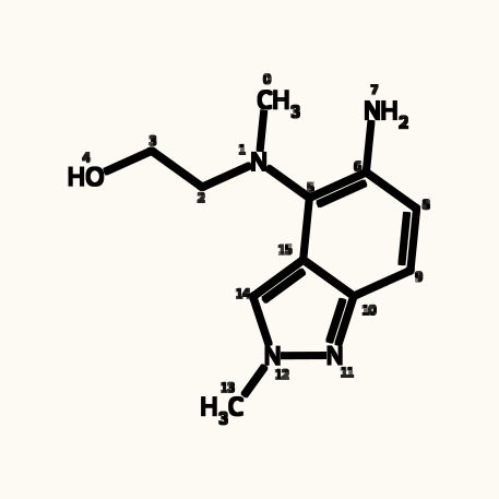 CN(CCO)c1c(N)ccc2nn(C)cc12